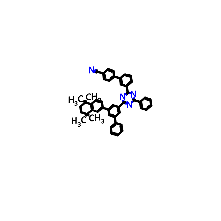 CC1(C)CCC(C)(C)c2cc(-c3cc(-c4ccccc4)cc(-c4nc(-c5ccccc5)nc(-c5cccc(-c6ccc(C#N)cc6)c5)n4)c3)ccc21